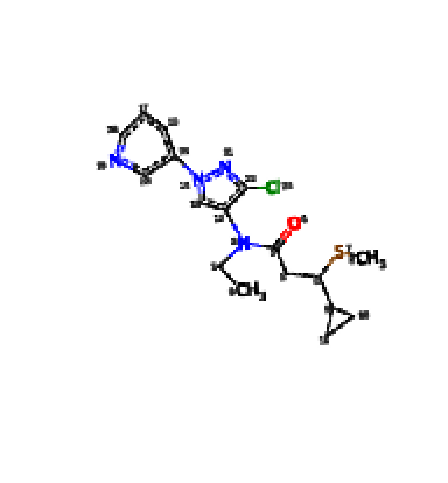 CCN(C(=O)CC(SC)C1CC1)c1cn(-c2cccnc2)nc1Cl